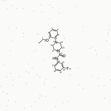 CCOc1ccccc1N1CCN(C(=O)Nc2cccc(F)c2)CC1